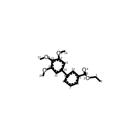 CCOC(=O)c1cccc(-c2cc(OC)c(OC)c(OC)c2)c1